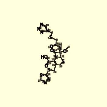 CO[C@@]1(NC(=O)CSCn2cnnn2)C(=O)N2C(C(=O)O)=C(CSc3nncs3)CSC21